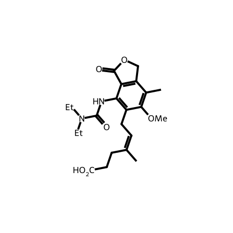 CCN(CC)C(=O)Nc1c(CC=C(C)CCC(=O)O)c(OC)c(C)c2c1C(=O)OC2